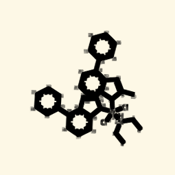 CC[SiH](CC)[Zr]([Cl])([Cl])([CH]1C(C)=Cc2c(-c3ccccc3)cccc21)[CH]1C(C)=Cc2c(-c3ccccc3)cccc21